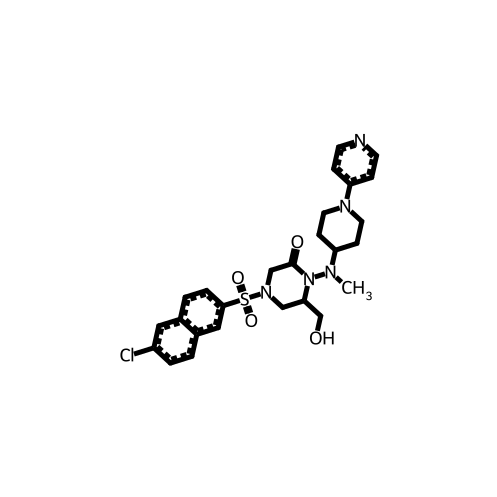 CN(C1CCN(c2ccncc2)CC1)N1C(=O)CN(S(=O)(=O)c2ccc3cc(Cl)ccc3c2)CC1CO